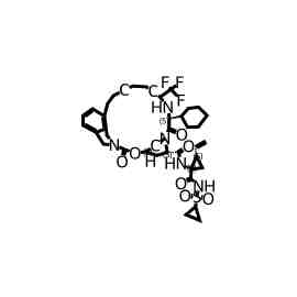 C=C[C@@H]1C[C@]1(NC(=O)[C@@H]1C[C@@H]2CN1C(=O)[C@H](C1CCCCC1)NC(C(F)(F)F)CCCCCCc1cccc3c1CN(C3)C(=O)O2)C(=O)NS(=O)(=O)C1CC1